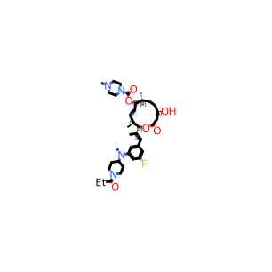 CCC(=O)N1CCC(N(C)c2cc(F)cc(/C=C(\C)[C@H]3OC(=O)C[C@@H](O)CC[C@@H](C)[C@H](OC(=O)N4CCN(C)CC4)/C=C/[C@@H]3C)c2)CC1